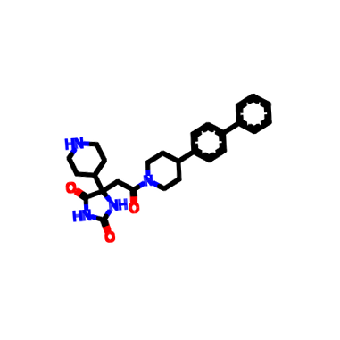 O=C1NC(=O)C(CC(=O)N2CCC(c3ccc(-c4ccccc4)cc3)CC2)(C2CCNCC2)N1